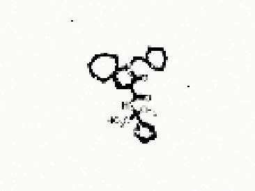 CC(NC(=O)c1cc2c(n(CC3CCCCC3)c1=O)CCCCCC2)(C(=O)O)c1cccs1